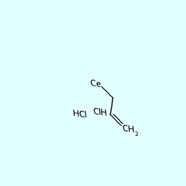 C=C[CH2][Ce].Cl.Cl